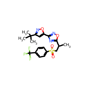 CC(CS(=O)(=O)c1ccc(C(F)(F)F)cc1)c1nc(-c2cc(C(C)(C)C)no2)no1